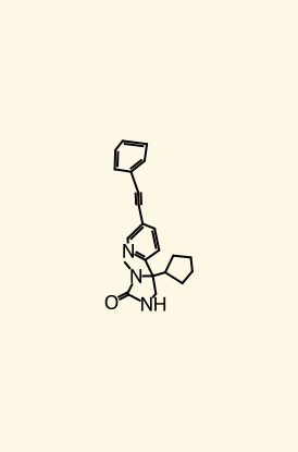 CN1C(=O)NCC1(c1ccc(C#Cc2ccccc2)cn1)C1CCCC1